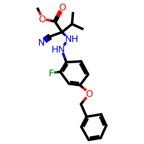 COC(=O)C(C#N)(NNc1ccc(OCc2ccccc2)cc1F)C(C)C